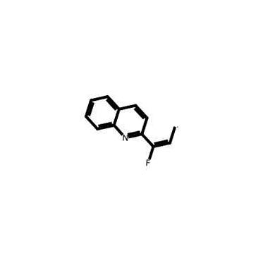 [CH2]/C=C(/F)c1ccc2ccccc2n1